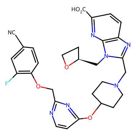 N#Cc1ccc(OCc2nccc(OC3CCN(Cc4nc5ccc(C(=O)O)nc5n4C[C@@H]4CCO4)CC3)n2)c(F)c1